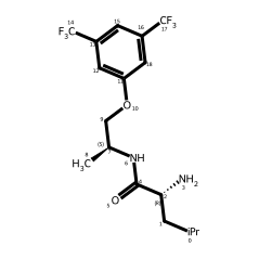 CC(C)C[C@@H](N)C(=O)N[C@@H](C)COc1cc(C(F)(F)F)cc(C(F)(F)F)c1